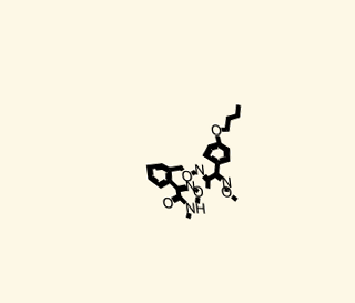 CCCCOc1ccc(C(=NOC)C(C)=NOCc2ccccc2C(=NOC)C(=O)NC)cc1